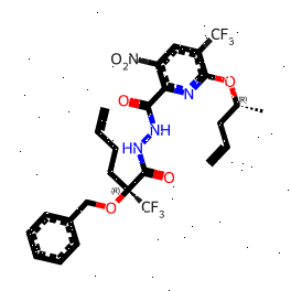 C=CCC[C@@](OCc1ccccc1)(C(=O)NNC(=O)c1nc(O[C@H](C)CC=C)c(C(F)(F)F)cc1[N+](=O)[O-])C(F)(F)F